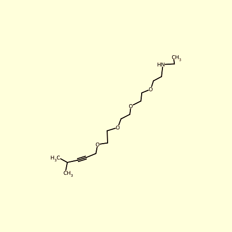 CCNCCOCCOCCOCCOCC#CC(C)C